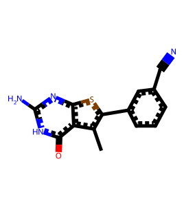 Cc1c(-c2cccc(C#N)c2)sc2nc(N)[nH]c(=O)c12